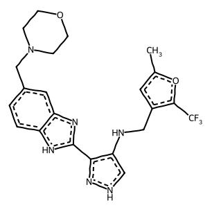 Cc1cc(CNc2c[nH]nc2-c2nc3cc(CN4CCOCC4)ccc3[nH]2)c(C(F)(F)F)o1